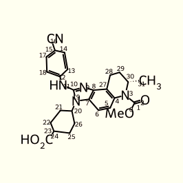 COC(=O)N1c2ccc3c(nc(Nc4ccc(C#N)cc4)n3C3CCC(C(=O)O)CC3)c2CC[C@@H]1C